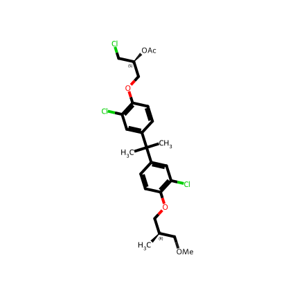 COC[C@@H](C)COc1ccc(C(C)(C)c2ccc(OC[C@@H](CCl)OC(C)=O)c(Cl)c2)cc1Cl